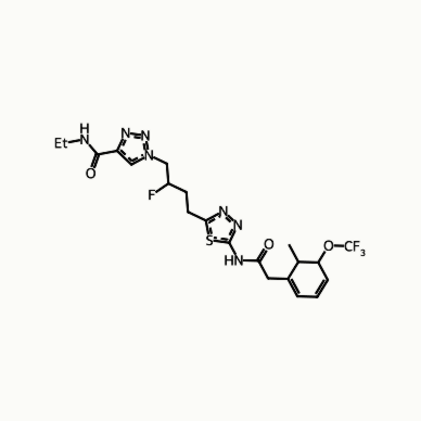 CCNC(=O)c1cn(CC(F)CCc2nnc(NC(=O)CC3=CC=CC(OC(F)(F)F)C3C)s2)nn1